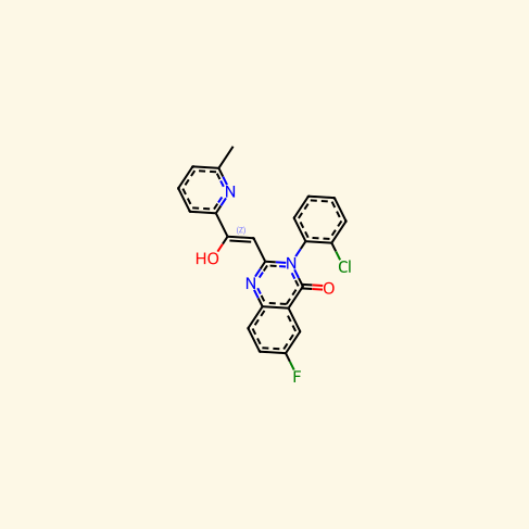 Cc1cccc(/C(O)=C/c2nc3ccc(F)cc3c(=O)n2-c2ccccc2Cl)n1